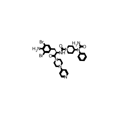 NC(=O)N(c1ccccc1)C1CCN(C(=O)N[C@H](Cc2cc(Br)c(N)c(Br)c2)C(=O)N2CCN(c3ccncc3)CC2)CC1